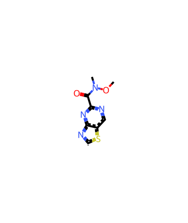 CON(C)C(=O)c1ncc2s[c]nc2n1